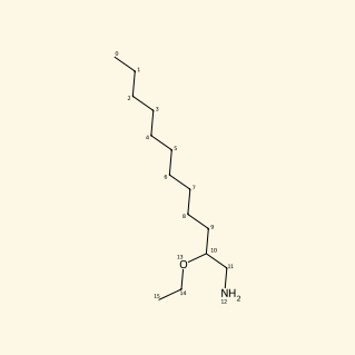 CCCCCCCCCCC(CN)OCC